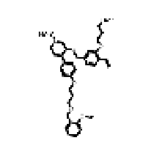 C=Cc1ccc(COC2CN(C(=O)O)CCC2c2ccc(OCCCOCc3ccccc3OC)cc2)cc1OCCCOC